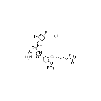 C[C@H](N)c1oc(-c2ccc(OC(F)F)c(OCCCCNC3CCOC3=O)c2)nc1C(=O)NCc1ccc(F)cc1F.Cl